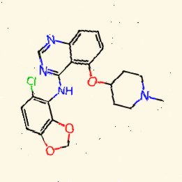 CN1CCC(Oc2cccc3ncnc(Nc4c(Cl)ccc5c4OCO5)c23)CC1